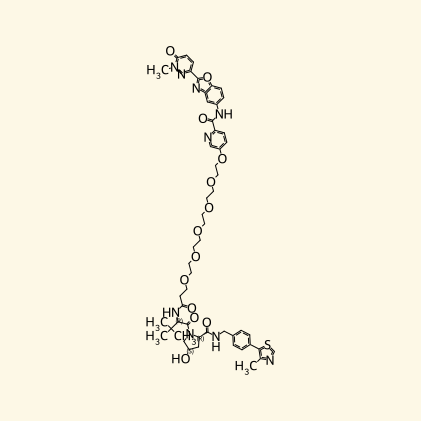 Cc1ncsc1-c1ccc(CNC(=O)[C@H]2C[C@H](O)CN2C(=O)[C@H](NC(=O)CCOCCOCCOCCOCCOCCOc2ccc(C(=O)Nc3ccc4oc(-c5ccc(=O)n(C)n5)nc4c3)nc2)C(C)(C)C)cc1